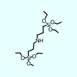 CCO[Si](CCCNCCC[Si](OCC)(OCC)OCC)(OC)OCC